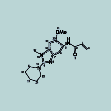 C=CC(=O)Nc1cc2nc(N3CCCCC3)n(C)c2cc1OC